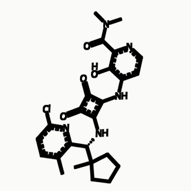 Cc1ccc(Cl)nc1[C@H](Nc1c(Nc2ccnc(C(=O)N(C)C)c2O)c(=O)c1=O)C1(C)CCCC1